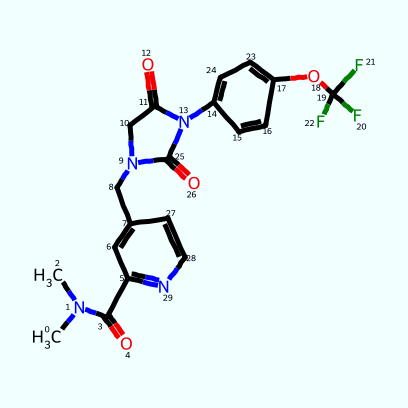 CN(C)C(=O)c1cc(CN2CC(=O)N(c3ccc(OC(F)(F)F)cc3)C2=O)ccn1